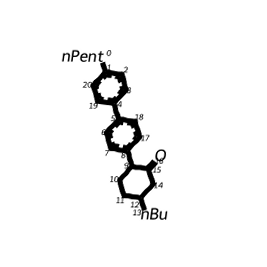 CCCCCc1ccc(-c2ccc(C3CCC(CCCC)CC3=O)cc2)cc1